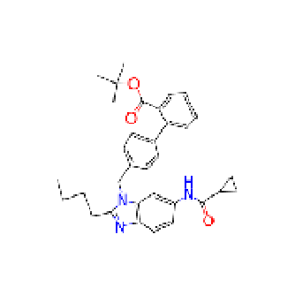 CCCCc1nc2ccc(NC(=O)C3CC3)cc2n1Cc1ccc(-c2ccccc2C(=O)OC(C)(C)C)cc1